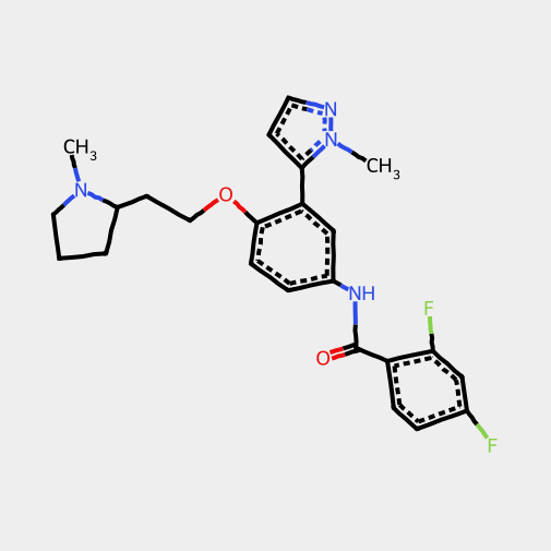 CN1CCCC1CCOc1ccc(NC(=O)c2ccc(F)cc2F)cc1-c1ccnn1C